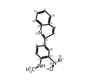 CNc1ccc(-c2ccc3ccccc3n2)cc1[N+](=O)[O-]